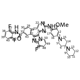 COc1cc(N2CCC(N3CCCCC3)CC2)ccc1Nc1nccc(-c2c(-c3cccc(C(=O)Nc4c(F)cccc4F)c3)nc3c(F)cccn23)n1